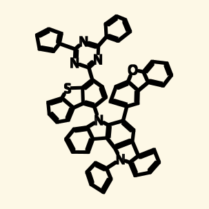 c1ccc(-c2nc(-c3ccccc3)nc(-c3ccc(-n4c5ccccc5c5c4c(-c4ccc6oc7ccccc7c6c4)cc4c6ccccc6n(-c6ccccc6)c45)c4c3sc3ccccc34)n2)cc1